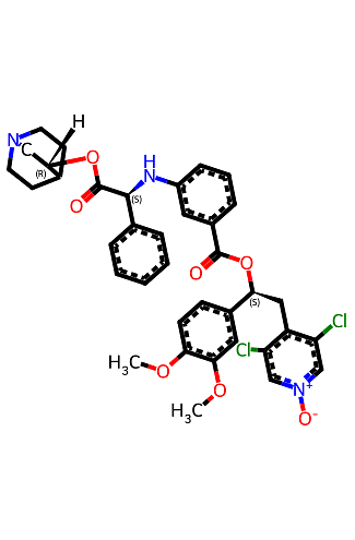 COc1ccc([C@H](Cc2c(Cl)c[n+]([O-])cc2Cl)OC(=O)c2cccc(N[C@H](C(=O)O[C@H]3CN4CCC3CC4)c3ccccc3)c2)cc1OC